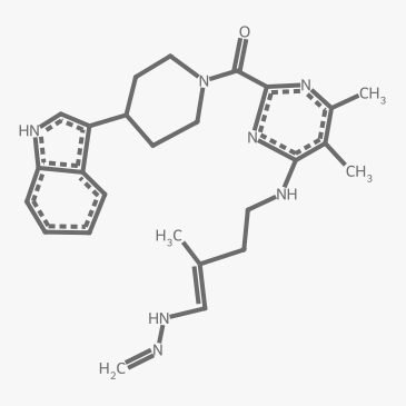 C=NN/C=C(\C)CCNc1nc(C(=O)N2CCC(c3c[nH]c4ccccc34)CC2)nc(C)c1C